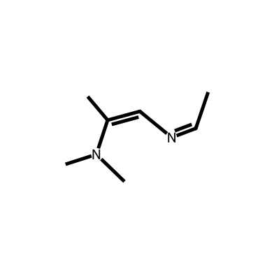 C/C=N\C=C(\C)N(C)C